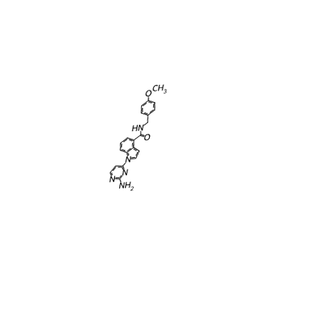 COc1ccc(CNC(=O)c2cccc3c2ccn3-c2ccnc(N)n2)cc1